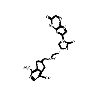 Cc1ncc(C#N)c2c1CC(CNCC[C@@H]1CN(c3cnc4c(n3)NC(=O)CO4)C(=O)O1)C2